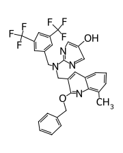 Cc1cccc2cc(CN(Cc3cc(C(F)(F)F)cc(C(F)(F)F)c3)c3ncc(O)cn3)c(OCc3ccccc3)nc12